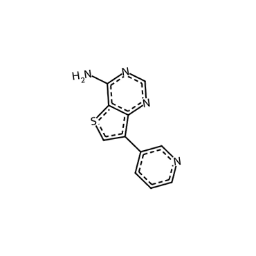 Nc1ncnc2c(-c3cccnc3)csc12